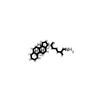 CC(CN)CCCC(C)[C@H]1CC[C@H]2[C@@H]3CCC4CCCC[C@]4(C)[C@H]3CC[C@]12C